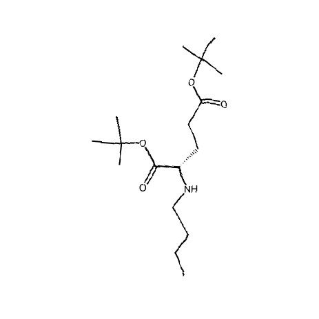 CCCCN[C@@H](CCC(=O)OC(C)(C)C)C(=O)OC(C)(C)C